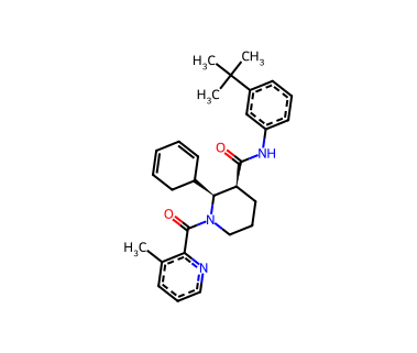 Cc1cccnc1C(=O)N1CCC[C@H](C(=O)Nc2cccc(C(C)(C)C)c2)[C@@H]1C1C=CC=CC1